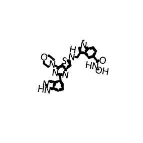 Cn1cc(CNc2cc3nc(-c4cccc5[nH]ncc45)nc(N4CCOCC4)c3s2)c2cc(C(=O)NO)ccc21